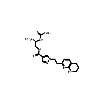 CC(C)COC(=O)N[C@@H](CNC(=O)c1cnn(CCc2ccc3c(n2)NCCC3)c1)C(=O)O